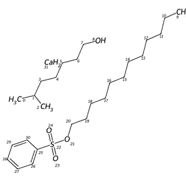 CC(C)CCCCCO.CCCCCCCCCCCCOS(=O)(=O)c1ccccc1.[CaH2]